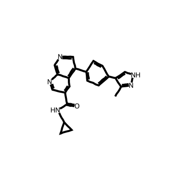 Cc1n[nH]cc1-c1ccc(-c2cncc3ncc(C(=O)NC4CC4)cc23)cc1